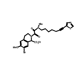 CCOC(=O)C1c2cc(Br)c(OC)cc2CCN1C(=O)C(=O)N(CCCCCC#Cc1cncs1)C(C)(C)C